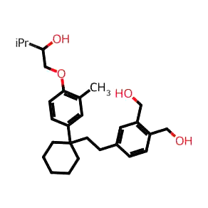 Cc1cc(C2(CCc3ccc(CO)c(CO)c3)CCCCC2)ccc1OCC(O)C(C)C